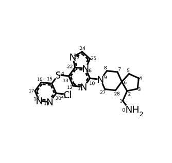 NCC1CCCC12CCN(c1ncc(Sc3ccnnc3Cl)c3nccn13)CC2